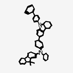 CC1(C)C2=CC(N(C3=CC=C(c4ccc5c(c4)C4CCCCC4N5c4ccc(-c5ccccc5)cc4)CC3)C3C=CC=CC3)CC=C2C2C=CC=CC21